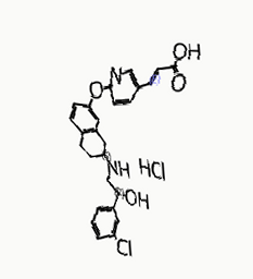 Cl.O=C(O)/C=C/c1ccc(Oc2ccc3c(c2)C[C@@H](NC[C@H](O)c2cccc(Cl)c2)CC3)nc1